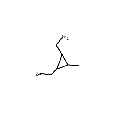 CCC(C)CC1C(C)C1CP